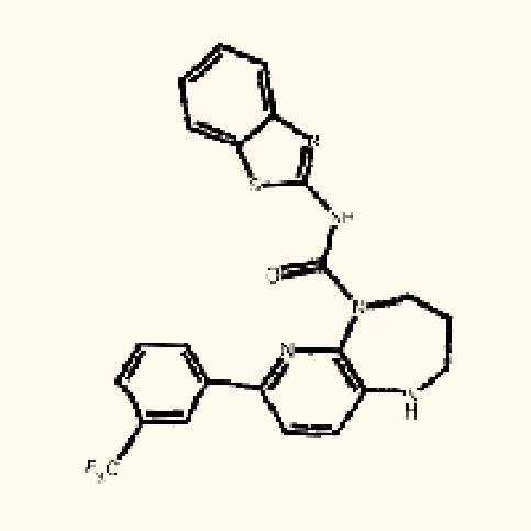 O=C(Nc1nc2ccccc2s1)N1CCCNc2ccc(-c3cccc(C(F)(F)F)c3)nc21